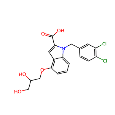 O=C(O)c1cc2c(OCC(O)CO)cccc2n1Cc1ccc(Cl)c(Cl)c1